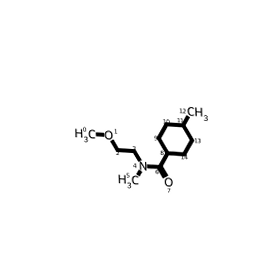 COCCN(C)C(=O)C1CCC(C)CC1